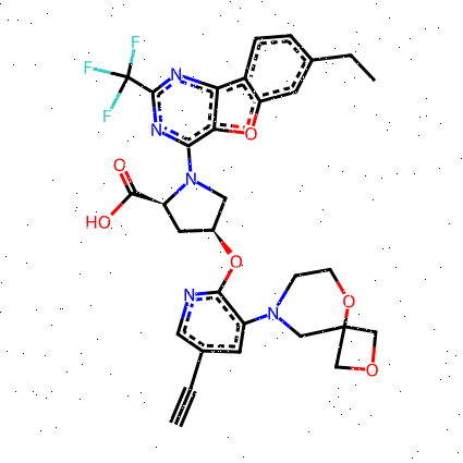 C#Cc1cnc(O[C@H]2C[C@@H](C(=O)O)N(c3nc(C(F)(F)F)nc4c3oc3cc(CC)ccc34)C2)c(N2CCOC3(COC3)C2)c1